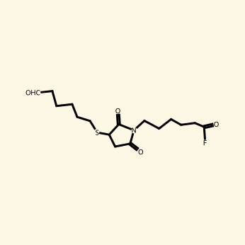 O=CCCCCCSC1CC(=O)N(CCCCCC(=O)F)C1=O